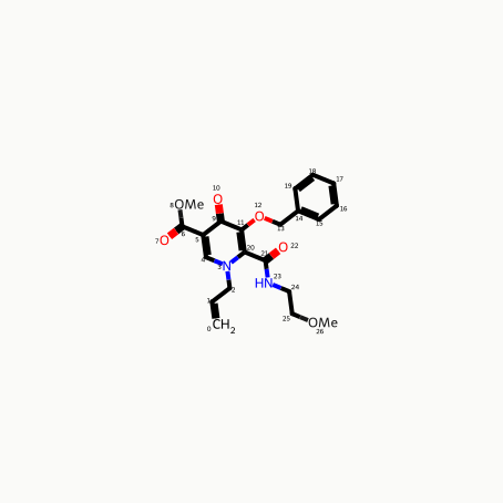 C=CCn1cc(C(=O)OC)c(=O)c(OCc2ccccc2)c1C(=O)NCCOC